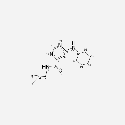 O=C(NCC1CC1)c1cc(NC2CCCCC2)ncn1